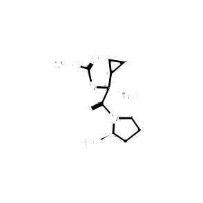 COC(=O)N[C@](N)(C(=O)N1CCC[C@H]1C)C1CC1